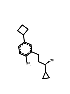 Nc1ccc(C2CCC2)cc1CC[C@@H](O)C1CC1